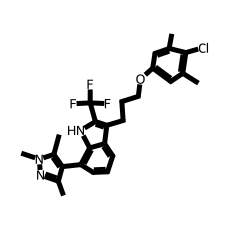 Cc1cc(OCCCc2c(C(F)(F)F)[nH]c3c(-c4c(C)nn(C)c4C)cccc23)cc(C)c1Cl